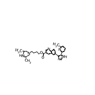 Cc1cccc(-c2[nH]cnc2-c2ccc3ncc(C(=O)OCCCCN4C[C@@H](C)N[C@@H](C)C4)cc3c2)n1